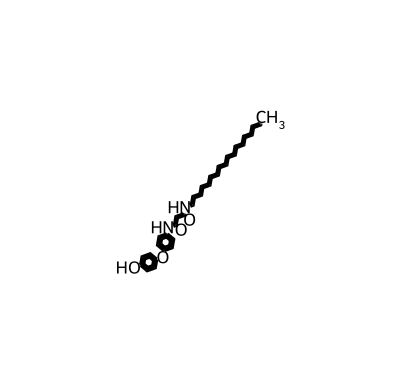 CCCCCCCCCCCCCCCCCCNC(=O)CC(=O)Nc1ccc(Oc2ccc(O)cc2)cc1